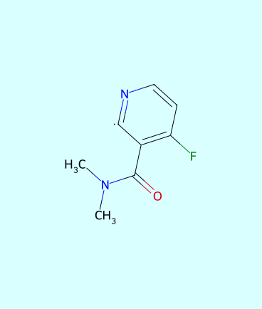 CN(C)C(=O)c1[c]nccc1F